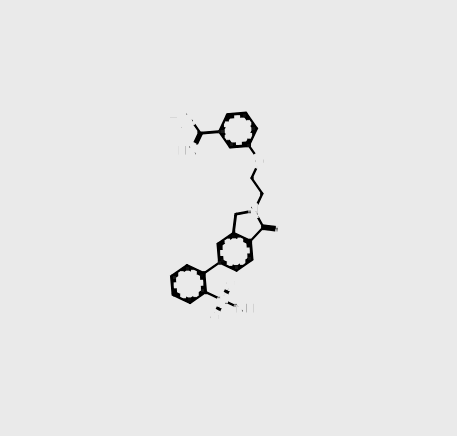 N=C(N)c1cccc(OCCN2Cc3cc(-c4ccccc4S(N)(=O)=O)ccc3C2=O)c1